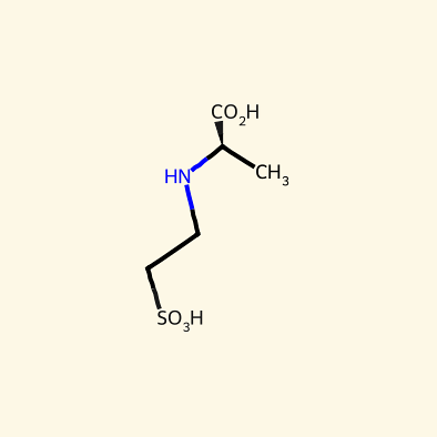 C[C@@H](NCCS(=O)(=O)O)C(=O)O